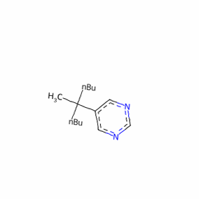 CCCCC(C)(CCCC)c1cncnc1